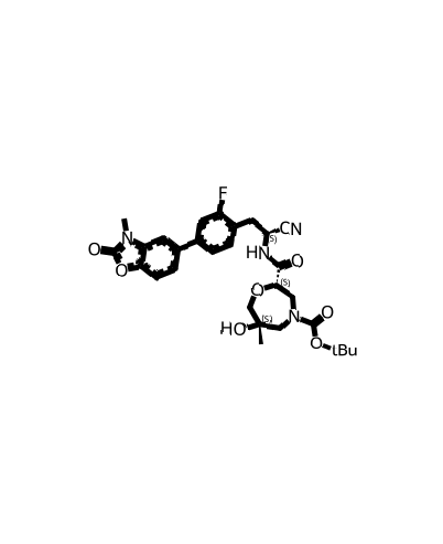 Cn1c(=O)oc2ccc(-c3ccc(C[C@@H](C#N)NC(=O)[C@@H]4CN(C(=O)OC(C)(C)C)C[C@](C)(O)CO4)c(F)c3)cc21